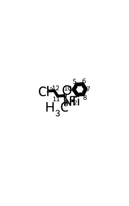 C[N]([Ti][c]1ccccc1)C(=O)CCCl